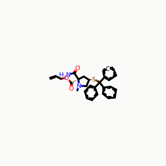 C=CCOC(=O)[C@]1(C(N)=O)C[C@H](SC(c2ccccc2)(c2ccccc2)c2ccccc2)CN1C